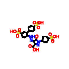 O=C(O)C1=NN(c2ccc(S(=O)(=O)O)cc2)C(=O)/C1=N\Nc1ccc(S(=O)(=O)O)cc1-c1ccc(S(=O)(=O)O)cc1